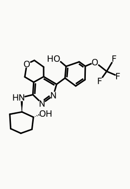 Oc1cc(OC(F)(F)F)ccc1-c1nnc(N[C@@H]2CCCC[C@H]2O)c2c1CCOC2